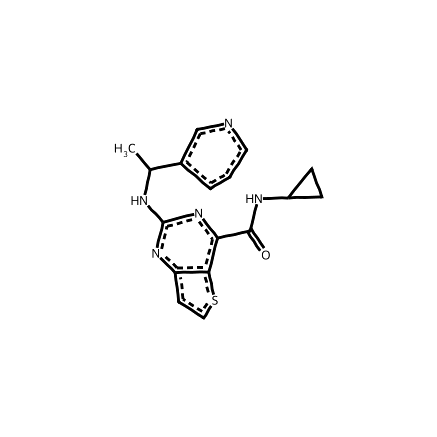 CC(Nc1nc(C(=O)NC2CC2)c2sccc2n1)c1cccnc1